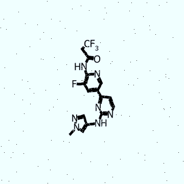 Cn1cc(Nc2nccc(-c3cnc(NC(=O)CC(F)(F)F)c(F)c3)n2)cn1